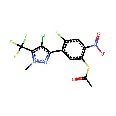 CC(=O)Sc1cc(-c2nn(C)c(C(F)(F)F)c2Cl)c(F)cc1[N+](=O)[O-]